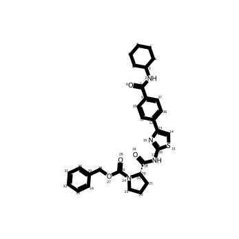 O=C(NC1CCCCC1)c1ccc(-c2csc(NC(=O)[C@@H]3CCCN3C(=O)OCc3ccccc3)n2)cc1